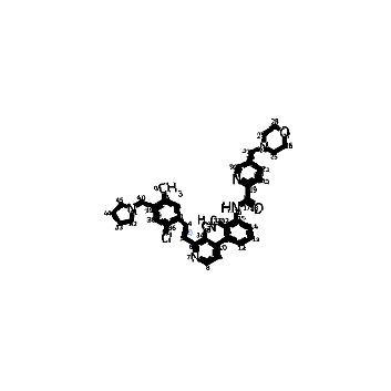 Cc1cc(/C=C/c2nccc(-c3cccc(NC(=O)c4ccc(CN5CCOCC5)cn4)c3C)c2C#N)c(Cl)cc1CN1CCCC1